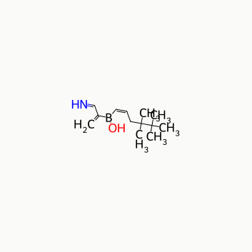 C=C(C=N)B(O)/C=C\CC(C)(C)C(C)(C)C